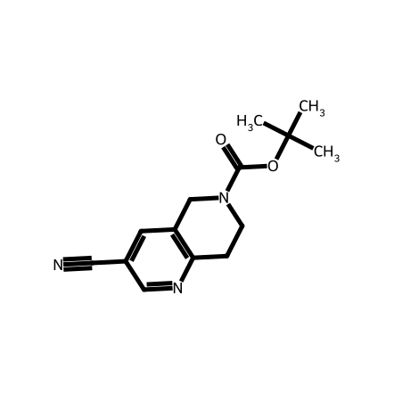 CC(C)(C)OC(=O)N1CCc2ncc(C#N)cc2C1